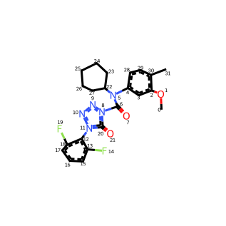 COc1cc(N(C(=O)n2nnn(-c3c(F)cccc3F)c2=O)C2CCCCC2)ccc1C